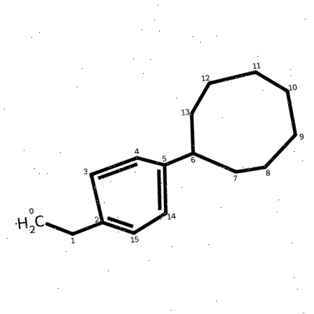 [CH2]Cc1ccc(C2CCCCCCC2)cc1